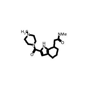 CNC(=O)CC1CCCc2cc(C(=O)N3CCN(C)CC3)[nH]c21